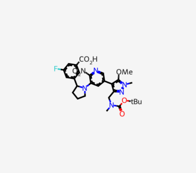 COc1c(-c2cnc([N+](=O)[O-])c(N3CCCC3c3cc(F)cc(C(=O)O)c3)c2)c(CN(C)C(=O)OC(C)(C)C)nn1C